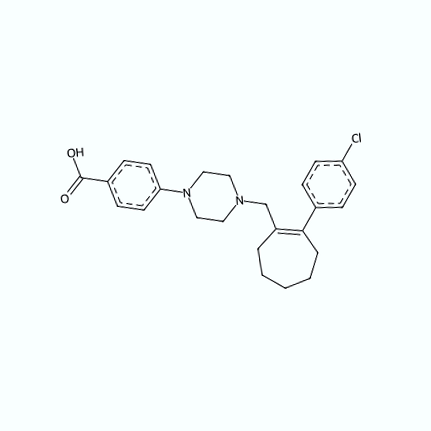 O=C(O)c1ccc(N2CCN(CC3=C(c4ccc(Cl)cc4)CCCCC3)CC2)cc1